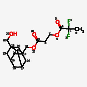 CC(F)(F)C(=O)OCCC(=O)OCC12CC3CC(CC(CO)(C3)C1)C2